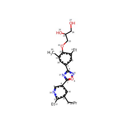 CCc1cc(-c2noc(-c3cnc(CC)c(CC(C)C)c3)n2)cc(C)c1OCC(O)CO